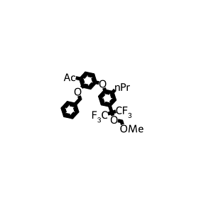 CCCc1cc(C(OCOC)(C(F)(F)F)C(F)(F)F)ccc1Oc1ccc(C(C)=O)c(OCc2ccccc2)c1